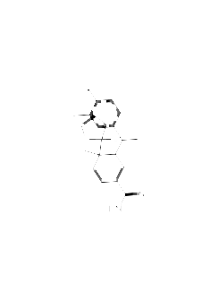 [CH2]C1(C2(Br)CC=CS2)C=CC(C(=N)N)=CC1C(C)c1ccc(Cl)c(Cl)c1